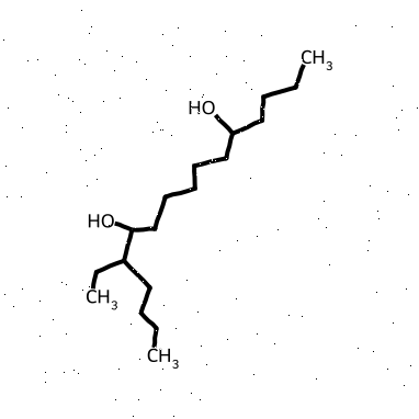 CCCCC(O)CCCCCC(O)C(CC)CCCC